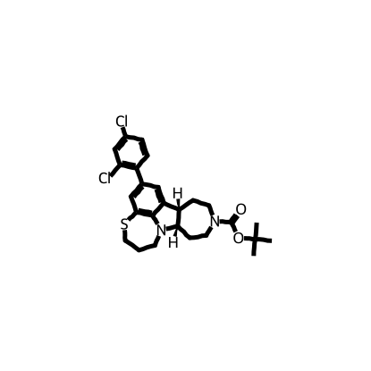 CC(C)(C)OC(=O)N1CC[C@H]2c3cc(-c4ccc(Cl)cc4Cl)cc4c3N(CCCS4)[C@H]2CC1